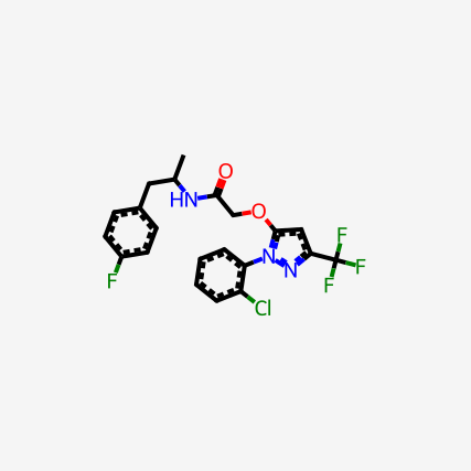 CC(Cc1ccc(F)cc1)NC(=O)COc1cc(C(F)(F)F)nn1-c1ccccc1Cl